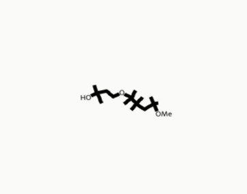 COC(C)(C)CC(C)(C)C(C)(C)OCCC(C)(C)O